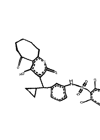 O=C1CCCCCc2oc(=O)c(C(c3cccc(NS(=O)(=O)c4c(Cl)cccc4Cl)c3)C3CC3)c(O)c21